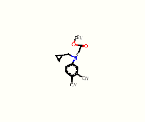 CC(C)(C)OC(=O)CN(CC1CC1)c1ccc(C#N)c(C#N)c1